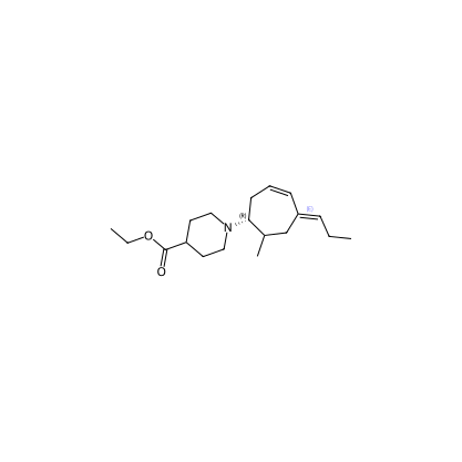 CC/C=C1/C=CC[C@@H](N2CCC(C(=O)OCC)CC2)C(C)C1